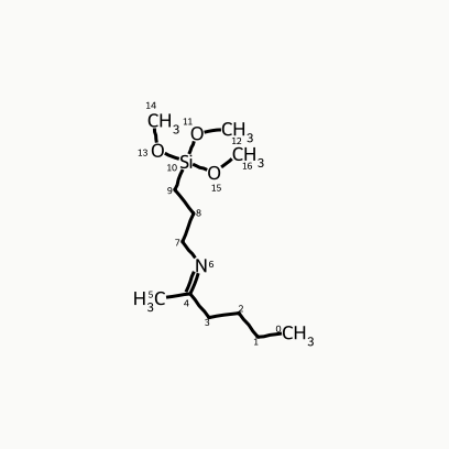 CCCCC(C)=NCCC[Si](OC)(OC)OC